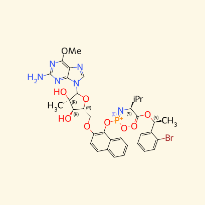 COc1nc(N)nc2c1ncn2C1O[C@H](COc2ccc3ccccc3c2O/[P+]([O-])=N/[C@H](C(=O)O[C@@H](C)c2ccccc2Br)C(C)C)[C@@H](O)[C@@]1(C)O